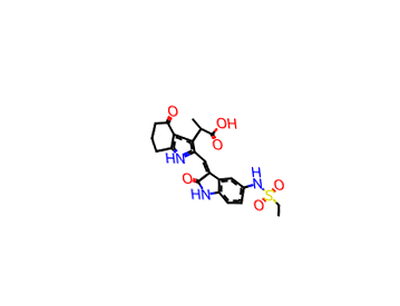 CCS(=O)(=O)Nc1ccc2c(c1)/C(=C/c1[nH]c3c(c1C(C)C(=O)O)C(=O)CCC3)C(=O)N2